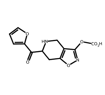 O=C(O)Oc1noc2c1CNC(C(=O)c1ccco1)C2